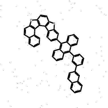 c1cc(-c2ccc3ccccc3c2)cc(-c2c3ccccc3c(-c3ccc4c(c3)sc3ccc5oc6ccc7ccccc7c6c5c34)c3ccccc23)c1